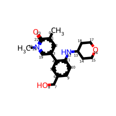 Cc1cc(-c2cc(CO)ccc2NC2CCOCC2)cn(C)c1=O